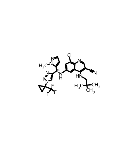 Cn1nccc1[C@H](Nc1cc(Cl)c2ncc(C#N)c(NCC(C)(C)C)c2c1)c1cn(C2(C(F)(F)F)CC2)nn1